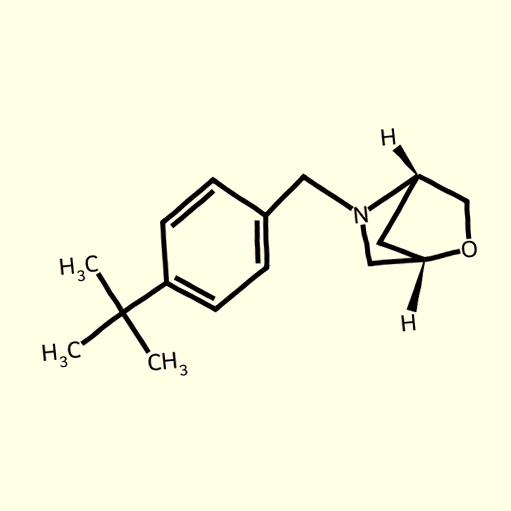 CC(C)(C)c1ccc(CN2C[C@@H]3C[C@H]2CO3)cc1